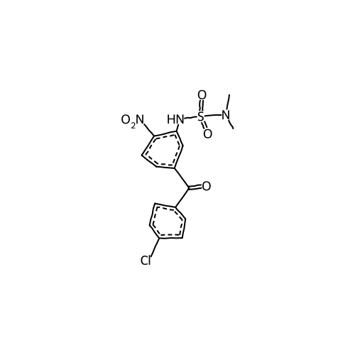 CN(C)S(=O)(=O)Nc1cc(C(=O)c2ccc(Cl)cc2)ccc1[N+](=O)[O-]